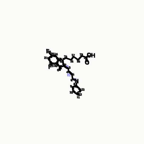 C=c1\c(=C/C=C/C=N/c2ccccc2)n(CCCCCC(=O)O)c2cc(F)cc(F)c12